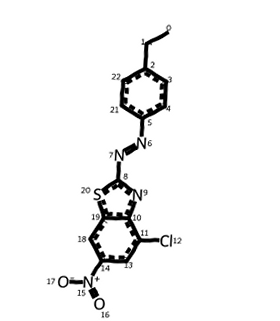 C[CH]c1ccc(N=Nc2nc3c(Cl)cc([N+](=O)[O-])cc3s2)cc1